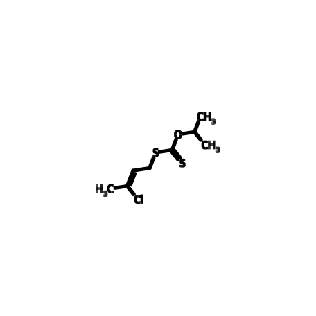 C/C(Cl)=C/CSC(=S)OC(C)C